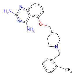 Nc1nc(N)c2c(OCC3CCN(Cc4ccccc4C(F)(F)F)CC3)cccc2n1